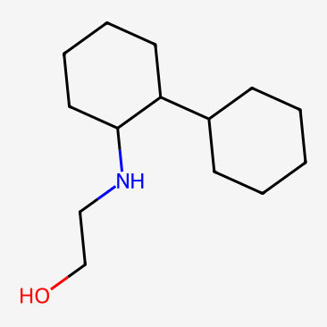 OCCNC1CCCCC1C1CCCCC1